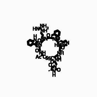 CC(=O)[C@@H]1CSSC[C@H](NC(=O)CN2C(=O)N[C@H](C)C2=O)C(=O)N[C@H](C)C(=O)N[C@@H](Cc2cnc[nH]2)C(=O)N[C@H](Cc2ccccc2)C(=O)N[C@@H](CCCNC(=N)N)C(=O)N[C@@H](Cc2c[nH]c3ccccc23)C(=O)N1